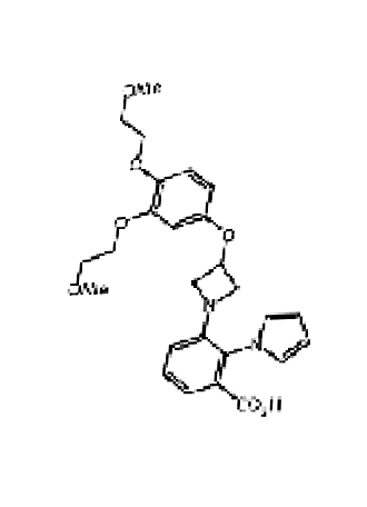 COCCOc1ccc(OC2CN(c3cccc(C(=O)O)c3-n3cccc3)C2)cc1OCCOC